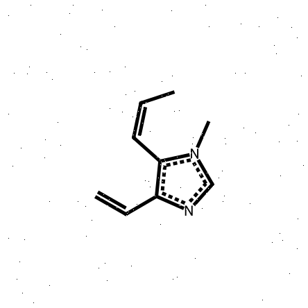 C=Cc1ncn(C)c1/C=C\C